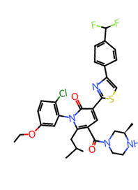 CCOc1ccc(Cl)c(-n2c(CC(C)C)c(C(=O)N3CCN[C@H](C)C3)cc(-c3nc(-c4ccc(C(F)F)cc4)cs3)c2=O)c1